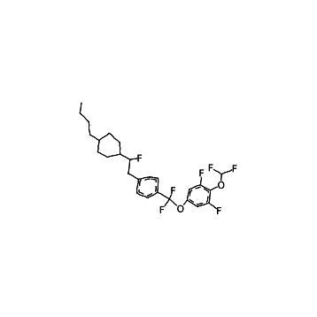 CCCCC1CCC(C(F)Cc2ccc(C(F)(F)Oc3cc(F)c(OC(F)F)c(F)c3)cc2)CC1